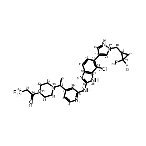 CC(c1ccnc(Nc2nc3ccc(-c4cnn(CC5CC5(F)F)c4)c(Cl)c3[nH]2)c1)N1CCN(C(=O)CC(F)(F)F)CC1